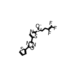 [O-][S+](CCC(F)=C(F)F)c1ncc(-c2noc(-c3cccs3)n2)s1